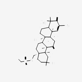 CC1(C)CC[C@]2(CNS(=O)(=O)CC(F)(F)F)CC[C@]3(C)[C@H](C(=O)C[C@@H]4[C@@]5(C)C=C(C#N)C(=O)C(C)(C)[C@@H]5CC[C@]43C)[C@@H]2C1